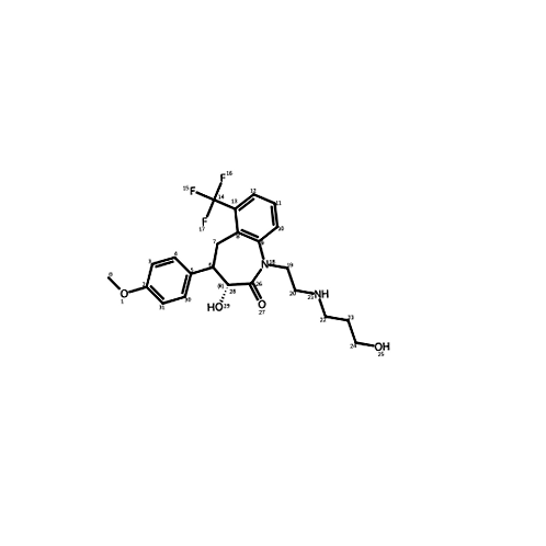 COc1ccc(C2Cc3c(cccc3C(F)(F)F)N(CCNCCCO)C(=O)[C@@H]2O)cc1